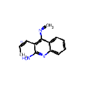 C=Nc1c(/C=C\C)c(N)nc2ccccc12